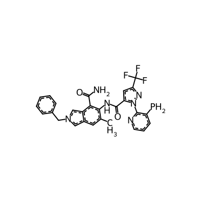 Cc1cc2cn(Cc3ccccc3)cc2c(C(N)=O)c1NC(=O)c1cc(C(F)(F)F)nn1-c1ncccc1P